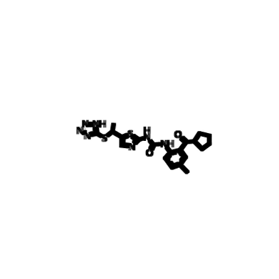 Cc1ccc(NC(=O)Nc2ncc(C(C)Sc3nnn[nH]3)s2)c(C(=O)C2CCCC2)c1